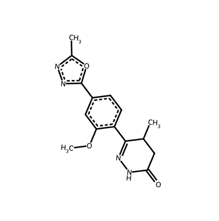 COc1cc(-c2nnc(C)o2)ccc1C1=NNC(=O)CC1C